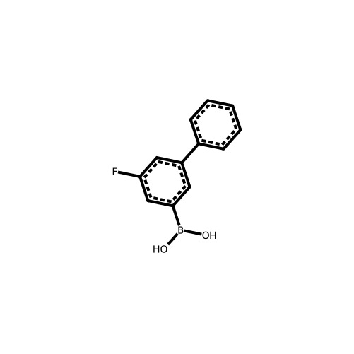 OB(O)c1cc(F)cc(-c2ccccc2)c1